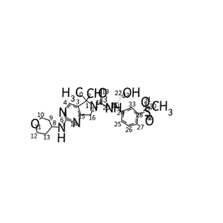 CC1(C)c2cnc(NC3CCOCC3)nc2CN1C(=O)N[C@H](CO)c1cccc(S(C)(=O)=O)c1